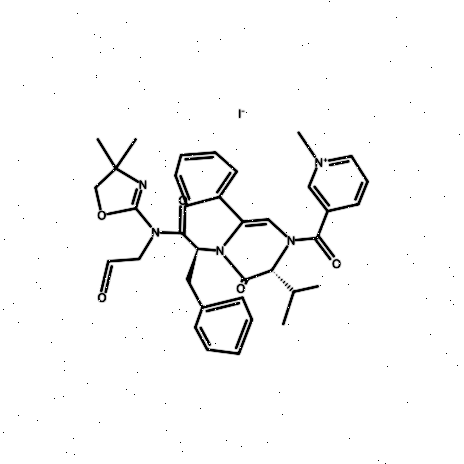 CC(C)[C@@H]1C(=O)N([C@@H](Cc2ccccc2)C(=O)N(CC=O)C2=NC(C)(C)CO2)C(c2ccccc2)=CN1C(=O)c1ccc[n+](C)c1.[I-]